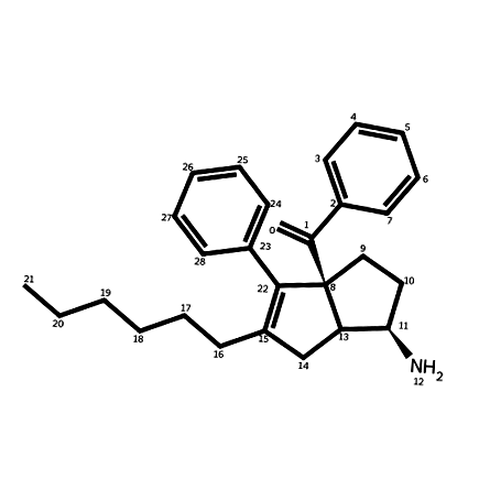 C=C(c1ccccc1)[C@@]12CC[C@@H](N)C1CC(CCCCCC)=C2c1ccccc1